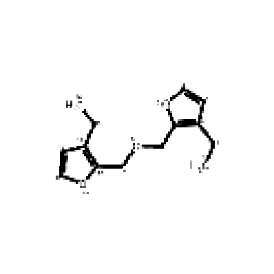 CCc1ccoc1COCc1occc1CC